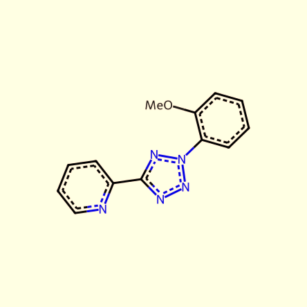 COc1ccccc1-n1nnc(-c2ccccn2)n1